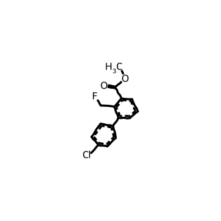 COC(=O)c1cccc(-c2ccc(Cl)cc2)c1CF